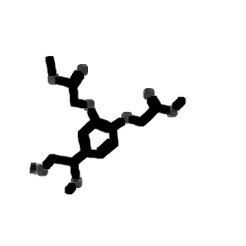 COC(=O)COc1ccc(C(CO)OC)cc1OCC(=O)OC